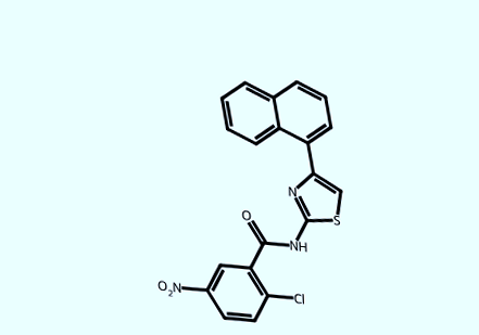 O=C(Nc1nc(-c2cccc3ccccc23)cs1)c1cc([N+](=O)[O-])ccc1Cl